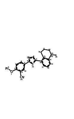 CC(C)Oc1ccc(-c2ncc(-c3cccc4c3CCC[C@H]4C)s2)cc1C#N